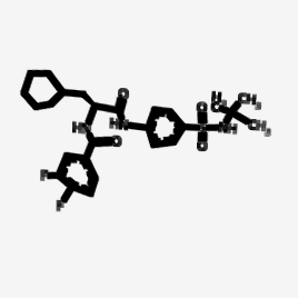 CC(C)(C)NS(=O)(=O)c1ccc(NC(=O)[C@H](CC2CCCCC2)NC(=O)c2ccc(F)c(F)c2)cc1